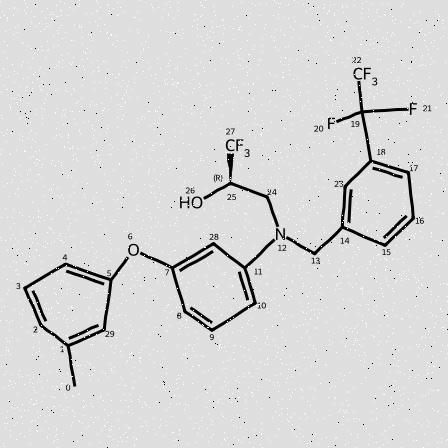 Cc1cccc(Oc2cccc(N(Cc3cccc(C(F)(F)C(F)(F)F)c3)C[C@@H](O)C(F)(F)F)c2)c1